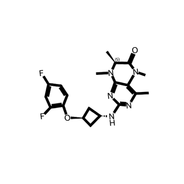 Cc1nc(N[C@H]2C[C@H](Oc3ccc(F)cc3F)C2)nc2c1N(C)C(=O)[C@H](C)N2C